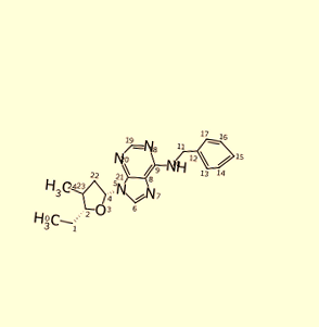 CC[C@H]1O[C@@H](n2cnc3c(NCc4ccccc4)ncnc32)CC1C